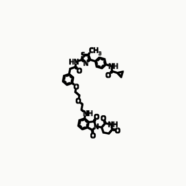 Cc1sc(NC(=O)Cc2cccc(OCCOCCNc3cccc4c3C(=O)N(C3CCC(=O)NC3=O)C4=O)c2)nc1-c1ccc(NC(=O)C2CC2)cc1